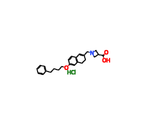 Cl.O=C(O)C1CN(CC2=Cc3ccc(OCCCCc4ccccc4)cc3CC2)C1